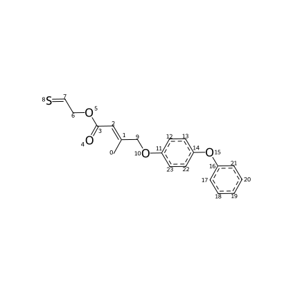 C/C(=C\C(=O)OCC=S)COc1ccc(Oc2ccccc2)cc1